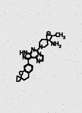 C[C@@H]1OCC2(CCN(c3nc4[nH]nc(-c5ccc6c(c5)OC5(CCC5)CC6)c4c4nccn34)CC2)[C@@H]1N